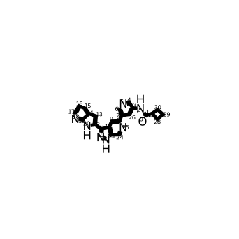 O=C(Nc1cncc(-c2cc3c(-c4cc5cccnc5[nH]4)n[nH]c3cn2)c1)C1CCC1